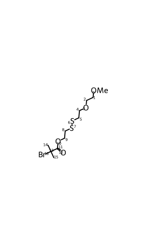 COCCOCCSSCCOC(=O)C(C)(C)Br